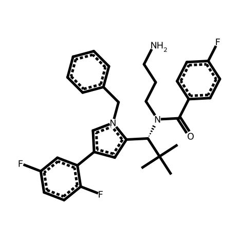 CC(C)(C)[C@H](c1cc(-c2cc(F)ccc2F)cn1Cc1ccccc1)N(CCCN)C(=O)c1ccc(F)cc1